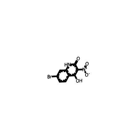 O=c1[nH]c2cc(Br)ccc2c(O)c1[N+](=O)[O-]